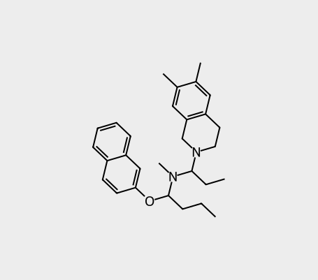 CCCC(Oc1ccc2ccccc2c1)N(C)C(CC)N1CCc2cc(C)c(C)cc2C1